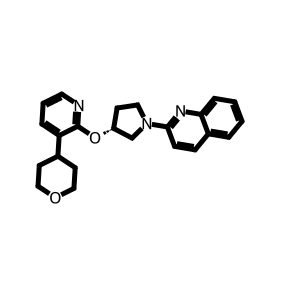 c1cnc(O[C@@H]2CCN(c3ccc4ccccc4n3)C2)c(C2CCOCC2)c1